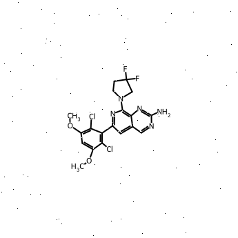 COc1cc(OC)c(Cl)c(-c2cc3cnc(N)nc3c(N3CCC(F)(F)C3)n2)c1Cl